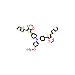 CCCCCCOc1ccc(N(c2ccc(-c3sc(-c4cc5sccc5s4)c4c3OCCO4)cc2)c2ccc(-c3sc(-c4cc5sccc5s4)c4c3OCCO4)cc2)cc1